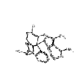 Cc1nc(C2(c3cccnc3C(N)=NO)C(F)=C(Cl)C=CC2OC(C)C)n2ccnc(N)c12